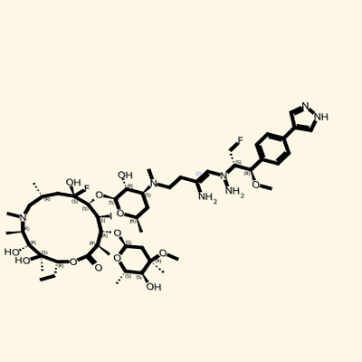 CC[C@H]1OC(=O)[C@H](C)[C@@H](O[C@H]2C[C@@](C)(OC)[C@@H](O)[C@H](C)O2)[C@H](I)[C@@H](O[C@@H]2O[C@H](C)C[C@H](N(C)CC/C(N)=C/N(N)[C@H](CF)[C@H](OC)c3ccc(-c4cn[nH]c4)cc3)[C@H]2O)[C@@](O)(F)C[C@@H](C)CN(C)[C@H](C)[C@@H](O)[C@]1(C)O